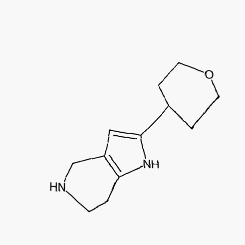 c1c(C2CCOCC2)[nH]c2c1CNCC2